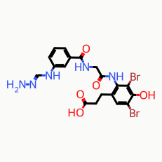 NN=CNc1cccc(C(=O)NCC(=O)Nc2c(CCC(=O)O)cc(Br)c(O)c2Br)c1